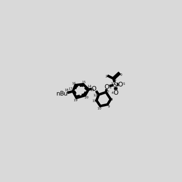 C=C(C)S(=O)(=O)OC1CCCCC1Oc1ccc(CCCC)cc1